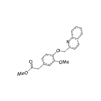 COC(=O)Cc1ccc(OCc2ccc3ccccc3n2)c(OC)c1